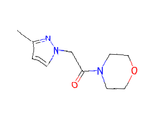 Cc1ccn(CC(=O)N2CCOCC2)n1